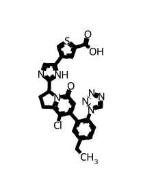 CCc1ccc(-n2cnnn2)c(-c2cc(=O)n3c(c2Cl)CCC3c2ncc(-c3csc(C(=O)O)c3)[nH]2)c1